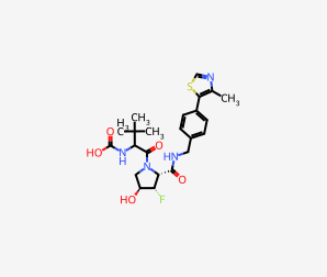 Cc1ncsc1-c1ccc(CNC(=O)[C@@H]2[C@H](F)[C@@H](O)CN2C(=O)C(NC(=O)O)C(C)(C)C)cc1